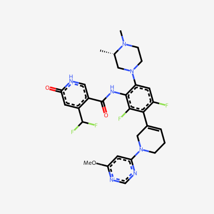 COc1cc(N2CCC=C(c3c(F)cc(N4CCN(C)[C@@H](C)C4)c(NC(=O)c4c[nH]c(=O)cc4C(F)F)c3F)C2)ncn1